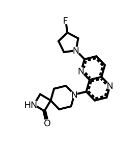 O=C1NCC12CCN(c1ccnc3ccc(N4CCC(F)C4)nc13)CC2